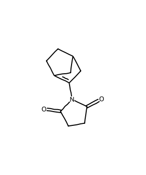 O=C1CCC(=O)N1C1=C2CCC(C2)C1